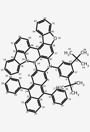 CC(C)(C)c1cc(N2c3cc4c(-c5ccccc5)c5ccccc5c(-c5ccccc5)c4cc3B3c4c2cc2oc5ccccc5c2c4-c2cccc4c5ccccc5n3c24)cc(C(C)(C)C)c1